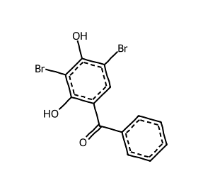 O=C(c1ccccc1)c1cc(Br)c(O)c(Br)c1O